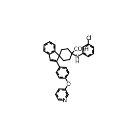 O=C(O)C1(Nc2cccc(Cl)c2)CCC2(CC1)C(c1ccc(Oc3cccnc3)cc1)=Cc1ccccc12